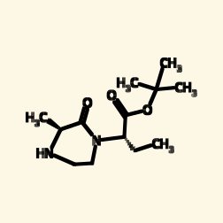 CC[C@@H](C(=O)OC(C)(C)C)N1CCN[C@@H](C)C1=O